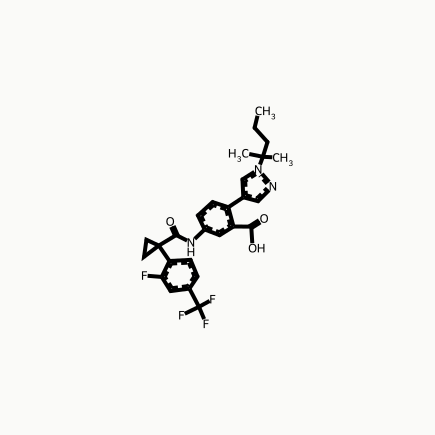 CCCC(C)(C)n1cc(-c2ccc(NC(=O)C3(c4ccc(C(F)(F)F)cc4F)CC3)cc2C(=O)O)cn1